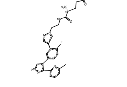 Cc1cccc(-c2n[nH]cc2-c2ccc(F)c(-c3cnn(CCNC(=O)[C@H](N)CCC(=O)O)c3)c2)n1